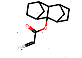 C=CC(=O)OC12C3CCC(C3)C1C1CCC2C1